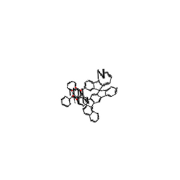 c1ccc(-c2c3ccccc3c(-c3ccc4c(c3)C3(c5ccccc5-c5cc6c7c8ccccc8ccc7n(-c7ncncn7)c6cc53)c3cccnc3-4)c3ccccc23)cc1